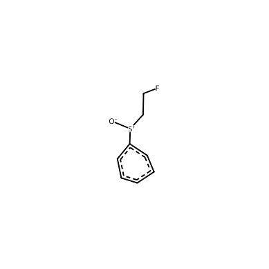 [O-][S+](CCF)c1ccccc1